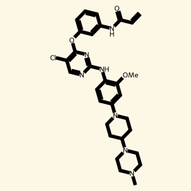 C=CC(=O)Nc1cccc(Oc2nc(Nc3ccc(N4CCC(N5CCN(C)CC5)CC4)cc3OC)ncc2Cl)c1